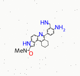 CNC(=O)c1cc2c(ccc3nc(-c4ccc(N)c(C=N)c4)c4c(c32)CCCC4)[nH]1